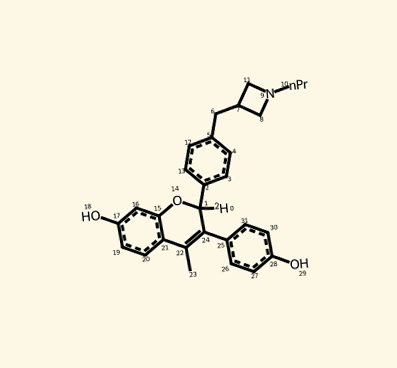 [2H]C1(c2ccc(CC3CN(CCC)C3)cc2)Oc2cc(O)ccc2C(C)=C1c1ccc(O)cc1